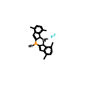 CCCP1C2=Cc3c(C)ccc(C)c3[CH]2[Hf+2][CH]2C1=Cc1c(C)ccc(C)c12.[F-].[F-]